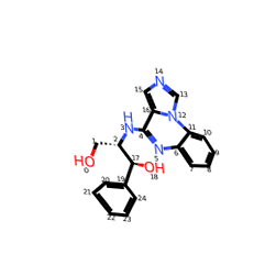 OC[C@H](Nc1nc2ccccc2n2cncc12)[C@@H](O)c1ccccc1